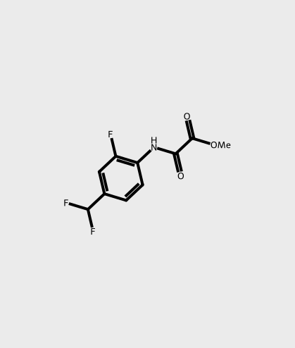 COC(=O)C(=O)Nc1ccc(C(F)F)cc1F